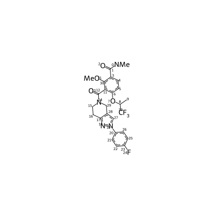 CNC(=O)c1ccc(OC(C)C(F)(F)F)c(C(=O)N2CCc3nn(-c4ccc(F)cc4)cc3C2)c1OC